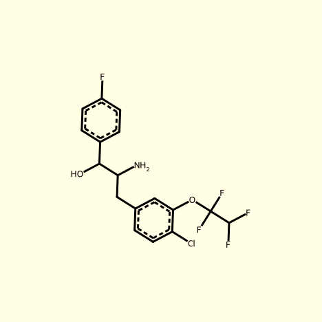 NC(Cc1ccc(Cl)c(OC(F)(F)C(F)F)c1)C(O)c1ccc(F)cc1